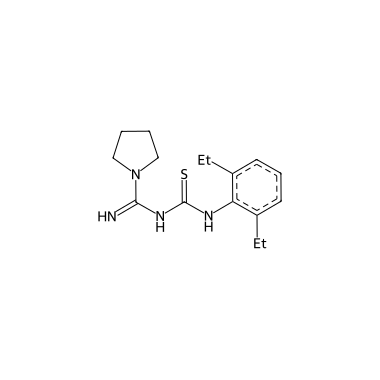 CCc1cccc(CC)c1NC(=S)NC(=N)N1CCCC1